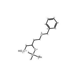 CC(C)(C)[Si](C)(C)OC(CCOCc1ccccc1)CC(=O)O